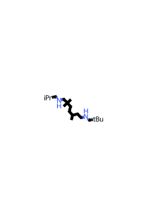 CC(C)CNCC(C)(C)CCC(C)CCNCC(C)(C)C